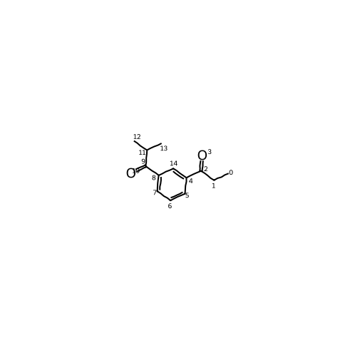 CCC(=O)c1cccc(C(=O)C(C)C)c1